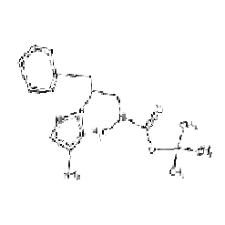 CN(CC(Cc1ccccc1)n1cc(N)cn1)C(=O)OC(C)(C)C